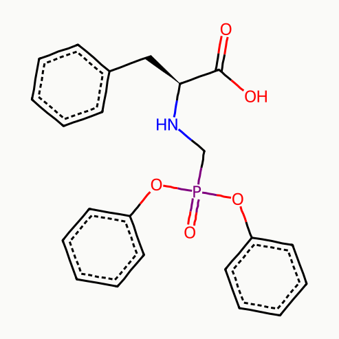 O=C(O)[C@H](Cc1ccccc1)NCP(=O)(Oc1ccccc1)Oc1ccccc1